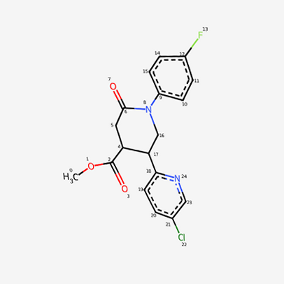 COC(=O)C1CC(=O)N(c2ccc(F)cc2)CC1c1ccc(Cl)cn1